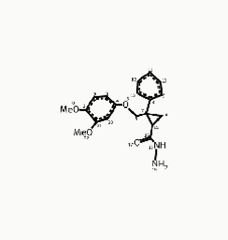 COc1ccc(OCC2(c3ccccc3)CC2C(=O)NN)cc1OC